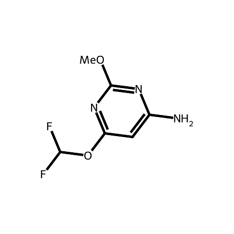 COc1nc(N)cc(OC(F)F)n1